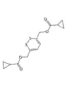 O=C(OCC1=CC=C(COC(=O)C2CC2)SS1)C1CC1